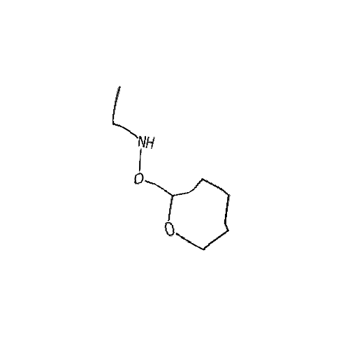 CCNOC1CCCCO1